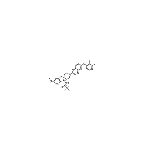 COc1ccc2c(c1)CC1(CCN(c3cnc4nc(Sc5ccnc(C)c5Cl)ccc4n3)CC1)[C@@H]2N[S+]([O-])C(C)(C)C